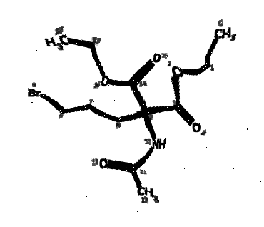 CCOC(=O)C(CCCBr)(NC(C)=O)C(=O)OCC